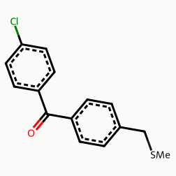 CSCc1ccc(C(=O)c2ccc(Cl)cc2)cc1